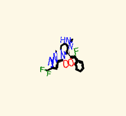 Cn1nc(C(F)F)cc1C(=O)N1CCc2[nH]cnc2[C@H]1c1oc2ccccc2c1F